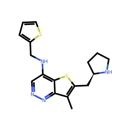 Cc1c(C[C@H]2CCCN2)sc2c(NCc3cccs3)cnnc12